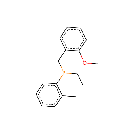 CCP(Cc1ccccc1OC)c1ccccc1C